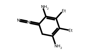 CCC1=C(N)CC(=[N+]=[N-])C(N)=C1CC